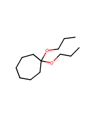 CCCOC1(OCCC)CCCCCC1